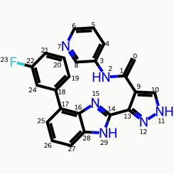 C=C(Nc1cccnc1)c1c[nH]nc1-c1nc2c(-c3cccc(F)c3)cccc2[nH]1